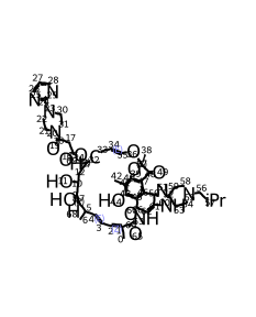 C/C1=C/C=C/C(C)[C@H](O)CC(O)C[C@H](OC(=O)CC(=O)N2CCN(c3ncccn3)CC2)CC/C=C/O[C@@]2(C)Oc3c(C)c(O)c4c(c3C2=O)C2=NC3(CCN(CC(C)C)CC3)NC2=C(NC1=O)C4=O